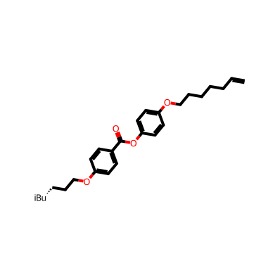 C=CCCCCCOc1ccc(OC(=O)c2ccc(OCCC[C@@H](C)CC)cc2)cc1